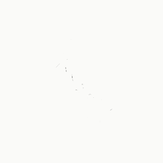 C=C1CC[C@H](O)CC1=CC=C1CCC[C@]2(C)[C@@H]([C@H](C)CCCC(C)C)CC[C@@H]12.CCCCCCCCCCCCCCCC(=O)O